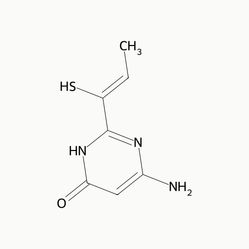 CC=C(S)c1nc(N)cc(=O)[nH]1